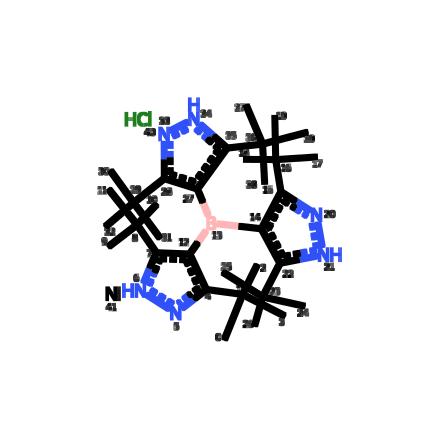 CC(C)(C)c1n[nH]c(C(C)(C)C)c1B(c1c(C(C)(C)C)n[nH]c1C(C)(C)C)c1c(C(C)(C)C)n[nH]c1C(C)(C)C.Cl.[Ni]